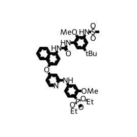 CCOP(=O)(OCC)c1ccc(Nc2cc(Oc3ccc(NC(=O)Nc4cc(C(C)(C)C)cc(NS(C)(=O)=O)c4OC)c4ccccc34)ccn2)cc1OC